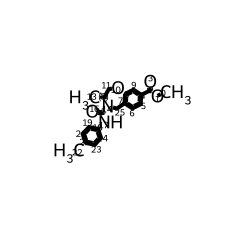 COC(=O)c1ccc2c(c1)OC[C@H](C)N(C(=O)Nc1ccc(C)cc1)C2